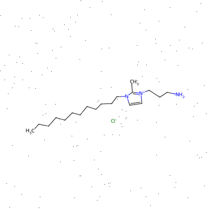 CCCCCCCCCCCCn1cc[n+](CCCN)c1C.[Cl-]